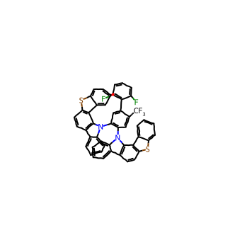 Fc1cccc(F)c1-c1cc(-n2c3ccccc3c3ccc4sc5ccccc5c4c32)c(-n2c3ccccc3c3ccc4sc5ccccc5c4c32)cc1C(F)(F)F